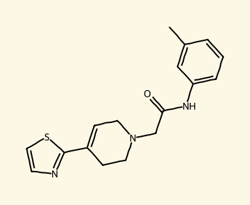 Cc1cccc(NC(=O)CN2CC=C(c3nccs3)CC2)c1